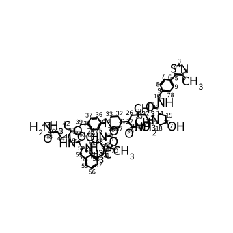 Cc1ncsc1-c1ccc(CNC(=O)[C@@H]2C[C@@H](O)CN2C(=O)CC(C)(C)CC(C(N)=O)C2CCN(c3ccc(CO[C@H](C)[C@H](CCC(N)=O)NC(=O)[C@@H]4Cc5cccc6c5N4C(=O)[C@@H](NC(=O)OC(C)(C)C)CC6)cc3)CC2)cc1